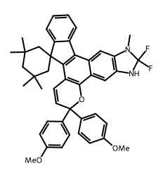 COc1ccc(C2(c3ccc(OC)cc3)C=Cc3c4c(c5cc6c(cc5c3O2)NC(F)(F)N6C)-c2ccccc2C42CC(C)(C)CC(C)(C)C2)cc1